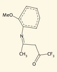 COc1ccccc1N=C(C)CC(=O)C(F)(F)F